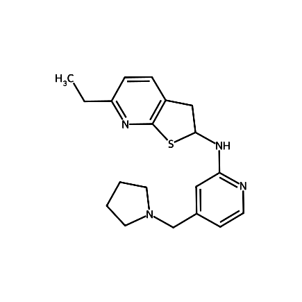 CCc1ccc2c(n1)SC(Nc1cc(CN3CCCC3)ccn1)C2